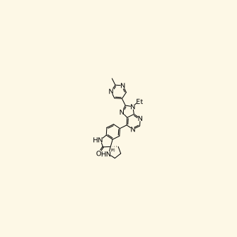 CCn1c(-c2cnc(C)nc2)nc2c(-c3ccc4c(c3)[C@]3(CCCN3)C(=O)N4)ncnc21